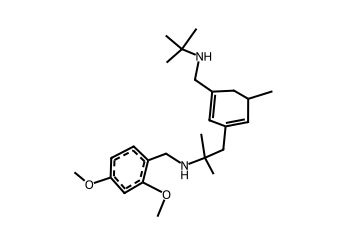 COc1ccc(CNC(C)(C)CC2=CC(C)CC(CNC(C)(C)C)=C2)c(OC)c1